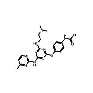 CCC(=O)Nc1ccc(Sc2nc(NCCN(C)C)nc(Nc3nccc(C)n3)n2)cc1